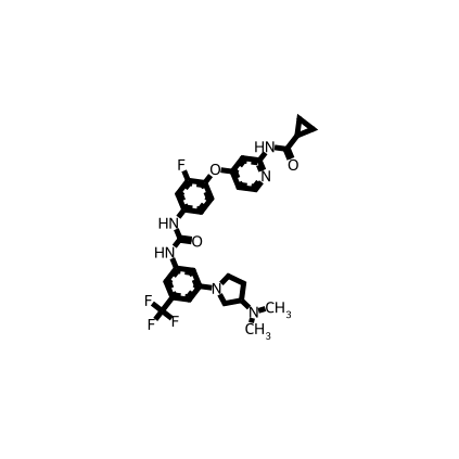 CN(C)C1CCN(c2cc(NC(=O)Nc3ccc(Oc4ccnc(NC(=O)C5CC5)c4)c(F)c3)cc(C(F)(F)F)c2)C1